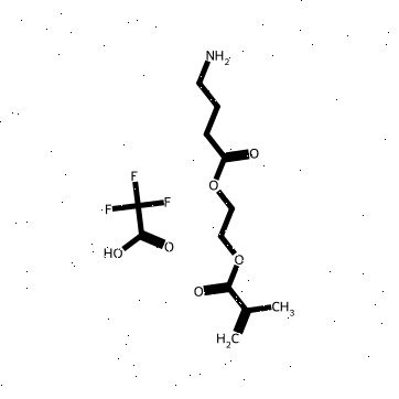 C=C(C)C(=O)OCCOC(=O)CCCN.O=C(O)C(F)(F)F